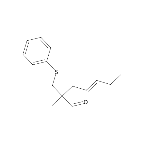 CCC=CCC(C)(C=O)CSc1ccccc1